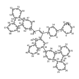 C=C(/C=C(/c1ccc(-c2cccnc2)cc1)c1cc(-c2ccc3c4ccccc4c4ccccc4c3c2)c2ccccc2c1C)c1ccc2c3ccccc3c3ccccc3c2c1